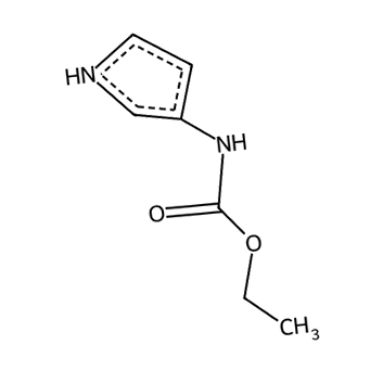 CCOC(=O)Nc1cc[nH]c1